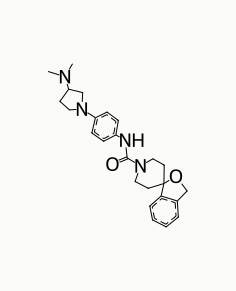 CN(C)C1CCN(c2ccc(NC(=O)N3CCC4(CC3)OCc3ccccc34)cc2)C1